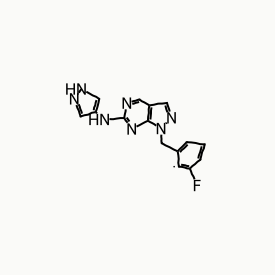 Fc1[c]c(Cn2ncc3cnc(Nc4cn[nH]c4)nc32)ccc1